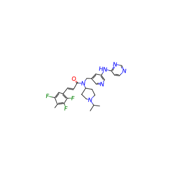 Cc1c(F)cc(/C=C/C(=O)N(Cc2cncc(Nc3ccncn3)c2)C2CCN(C(C)C)CC2)c(F)c1F